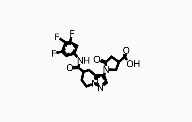 O=C(O)C1CC(=O)N(c2cnn3c2CC(C(=O)Nc2cc(F)c(F)c(F)c2)CC3)C1